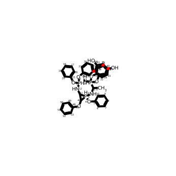 CC1N[PH]2(Oc3ccccc3)C(N[PH](Oc3ccccc3)(Oc3ccccc3)N[PH]1(Oc1ccccc1)Oc1cc(O)cc(O)c1)C2Oc1ccccc1